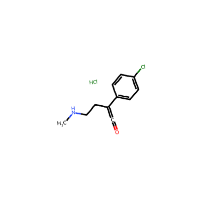 CNCCC(=C=O)c1ccc(Cl)cc1.Cl